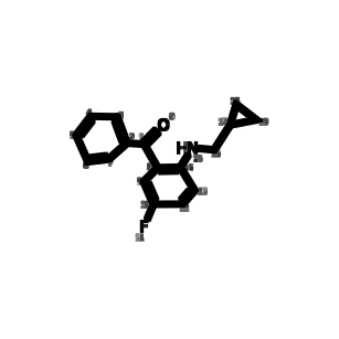 O=C(c1ccccc1)c1cc(F)ccc1NCC1CC1